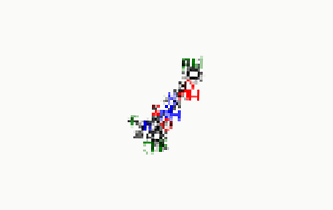 O=C(NN1CCN(C[C@H](O)COc2ccc(Cl)c(F)c2)CC1)c1cn(C2CC2F)c2cc(Cl)c(F)cc2c1=O